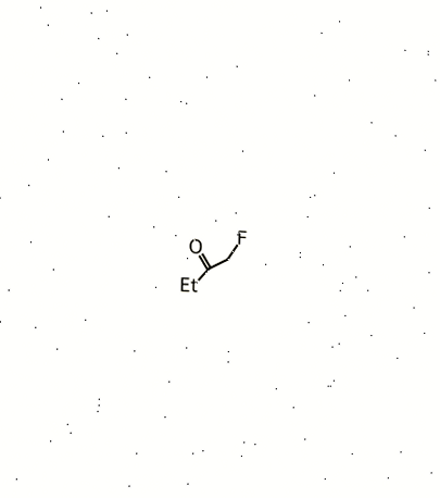 [CH2]CC(=O)CF